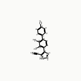 N#Cc1[nH]nnc1-c1ccc(-c2ccc(Cl)cc2)c(F)c1F